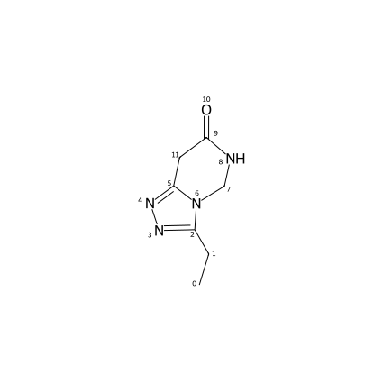 CCc1nnc2n1CNC(=O)C2